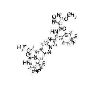 COC[C@H](c1cnn2cc([C@@H](NC(=O)c3nonc3OC)C3CCC(F)(F)CC3)nc2c1)N1CC(F)(F)C(F)(F)CNC1=O